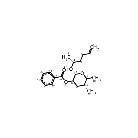 C=CCC[C@@H](C)O[C@@H]1OC(C)[C@H](C)CC1OC(=O)c1ccccc1